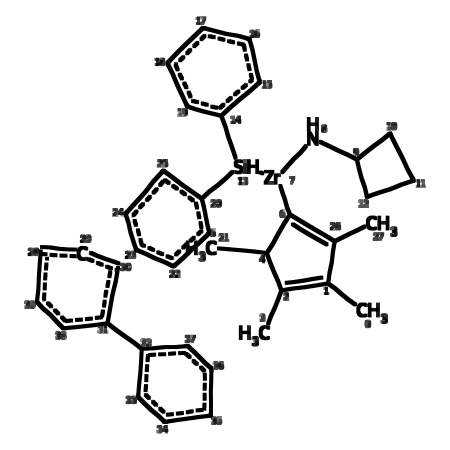 CC1=C(C)C(C)[C]([Zr]([NH]C2CCC2)[SiH](c2ccccc2)c2ccccc2)=C1C.c1ccc(-c2ccccc2)cc1